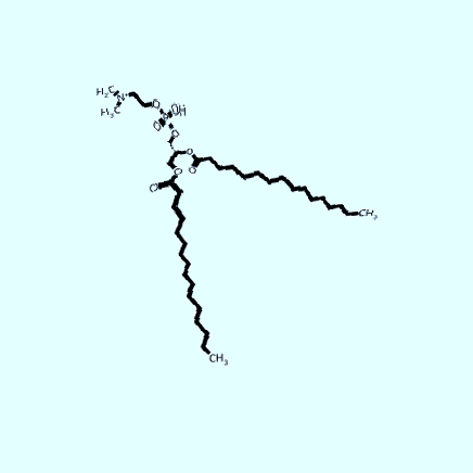 C=[N+](C)CCOP(=O)(O)OC[C@@H](COC(=O)CCCCCCCCCCCCCCC)OC(=O)CCCCCCCCCCCCCCC